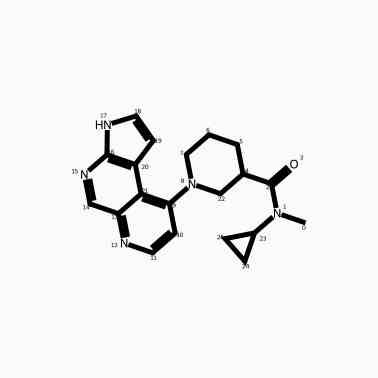 CN(C(=O)C1CCCN(c2ccnc3cnc4[nH]ccc4c23)C1)C1CC1